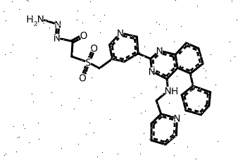 NN=NC(=O)CS(=O)(=O)Cc1cncc(-c2nc(NCc3ccccn3)c3c(-c4ccccc4)cccc3n2)c1